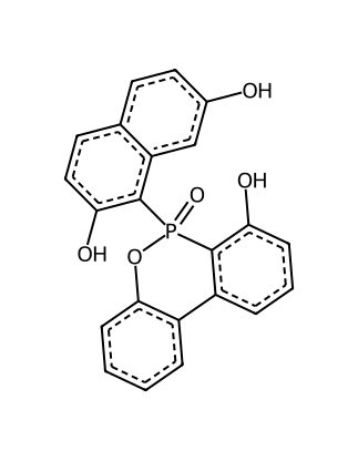 O=P1(c2c(O)ccc3ccc(O)cc23)Oc2ccccc2-c2cccc(O)c21